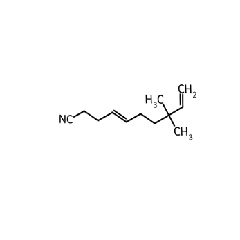 C=CC(C)(C)CCC=CCCC#N